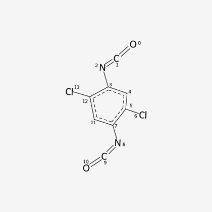 O=C=Nc1cc(Cl)c(N=C=O)cc1Cl